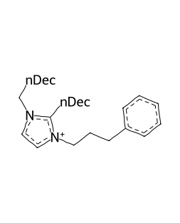 CCCCCCCCCCCn1cc[n+](CCCc2ccccc2)c1CCCCCCCCCC